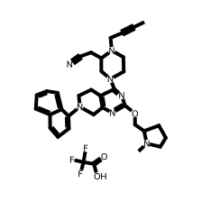 CC#CCN1CCN(c2nc(OCC3CCCN3C)nc3c2CCN(c2cccc4ccccc24)C3)CC1CC#N.O=C(O)C(F)(F)F